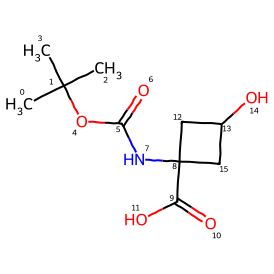 CC(C)(C)OC(=O)NC1(C(=O)O)CC(O)C1